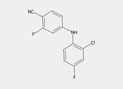 N#Cc1ccc(Nc2ccc(F)cc2Cl)cc1F